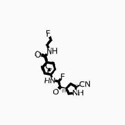 N#C[C@@H]1C[C@H](C(=O)C(F)NC23CCC(C(=O)NCCF)(CC2)CC3)CN1